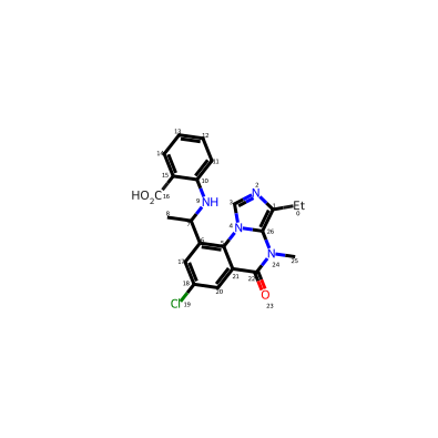 CCc1ncn2c3c(C(C)Nc4ccccc4C(=O)O)cc(Cl)cc3c(=O)n(C)c12